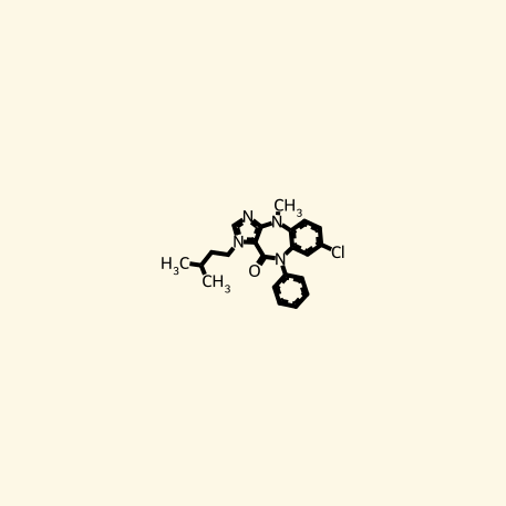 CC(C)CCn1cnc2c1C(=O)N(c1ccccc1)c1cc(Cl)ccc1N2C